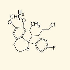 CCC(CCCCl)C1(c2ccc(F)cc2)SCCCc2cc(OC)c(OC)cc21